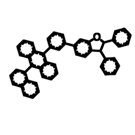 c1ccc(C2Oc3cc(-c4cccc(-c5c6ccccc6c(-c6cccc7ccccc67)c6ccccc56)c4)ccc3C2c2ccccc2)cc1